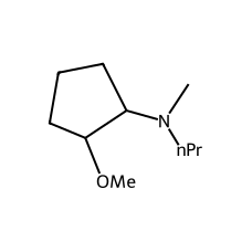 CCCN(C)C1CCCC1OC